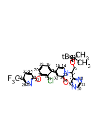 CC(C)(C)[Si](C)(C)OCC(c1cnccn1)n1ccc(-c2cccc(Oc3ccc(C(F)(F)F)cn3)c2Cl)cc1=O